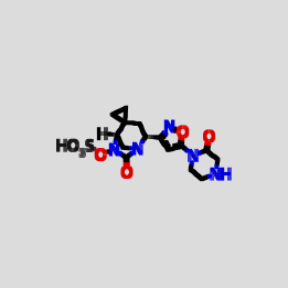 O=C1CNCCN1c1cc([C@@H]2CC3(CC3)[C@@H]3CN2C(=O)N3OS(=O)(=O)O)no1